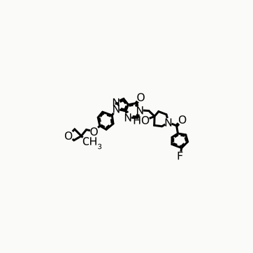 CC1(COc2ccc(-n3ncc4c(=O)n(CC5(O)CCN(C(=O)c6ccc(F)cc6)CC5)cnc43)cc2)COC1